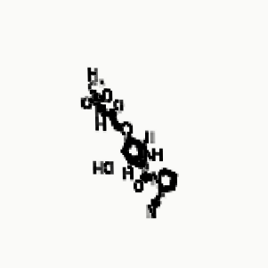 CS(=O)(=O)NC(=O)CO[C@@H]1C[C@H]2C[C@@H]1N[C@@H]2C(=O)N1CCC[C@H]1C#N.Cl